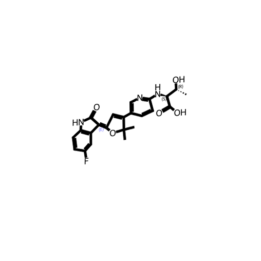 C[C@@H](O)[C@H](Nc1ccc(C2=C/C(=C3\C(=O)Nc4ccc(F)cc43)OC2(C)C)cn1)C(=O)O